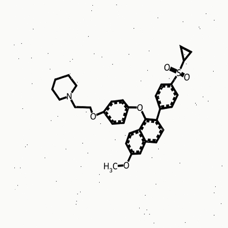 COc1ccc2c(Oc3ccc(OCCN4CCCCC4)cc3)c(-c3ccc(S(=O)(=O)C4CC4)cc3)ccc2c1